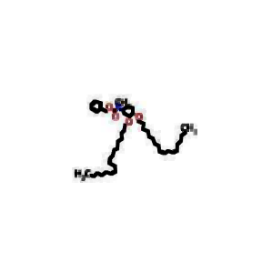 CCCCC/C=C\C/C=C\CCCCCCCCO[C@H]1C[C@H](N(C)C(=O)OCc2ccccc2)CC[C@H]1OCCCCCCCC/C=C\C/C=C\CCCCC